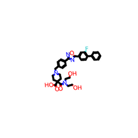 O=C(O)C1(C(=O)N(CCO)CCO)CCN(Cc2ccc(-c3noc(-c4ccc(-c5ccccc5)c(F)c4)n3)cc2)CC1